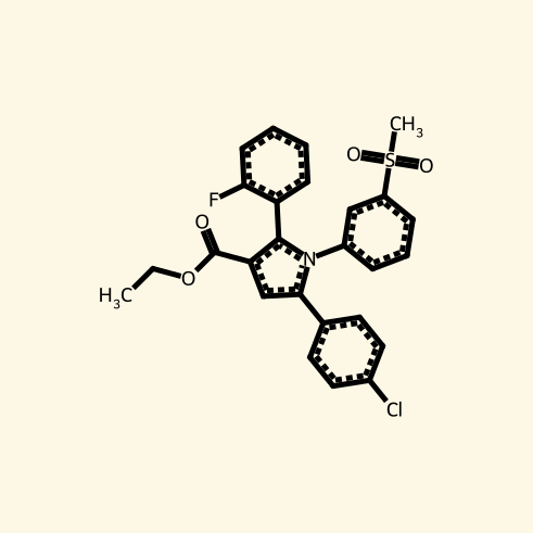 CCOC(=O)c1cc(-c2ccc(Cl)cc2)n(-c2cccc(S(C)(=O)=O)c2)c1-c1ccccc1F